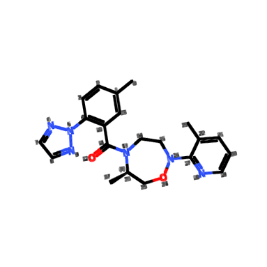 Cc1ccc(-n2nccn2)c(C(=O)N2CCN(c3ncccc3C)OC[C@H]2C)c1